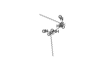 CCCCCCCCCCCCCCCCCCCC(=O)N(CCCN1CCOCC1)C(C(=O)NCCCCCCNC(=O)C(C(C)C)N(CCCN1CCOCC1)C(=O)CCCCCCCCCCCCCCCCCCC)C(C)C